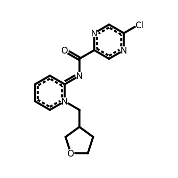 O=C(/N=c1\ccccn1CC1CCOC1)c1cnc(Cl)cn1